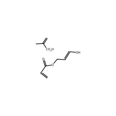 C=C(C)C(=O)O.C=CC(=O)OCC=CO